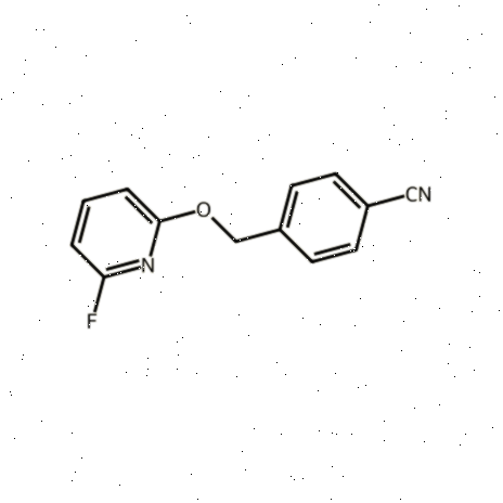 N#Cc1ccc(COc2cccc(F)n2)cc1